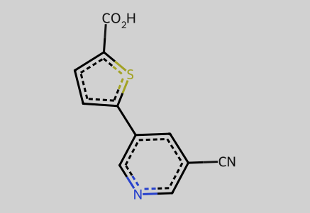 N#Cc1cncc(-c2ccc(C(=O)O)s2)c1